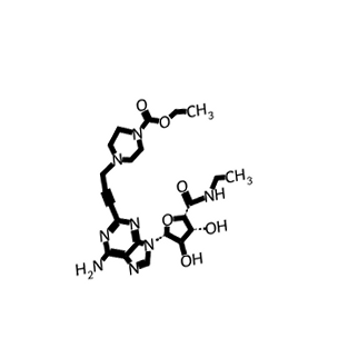 CCNC(=O)[C@H]1O[C@@H](n2cnc3c(N)nc(C#CCN4CCN(C(=O)OCC)CC4)nc32)C(O)[C@H]1O